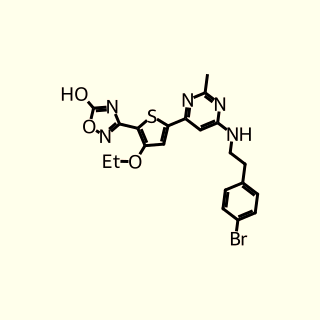 CCOc1cc(-c2cc(NCCc3ccc(Br)cc3)nc(C)n2)sc1-c1noc(O)n1